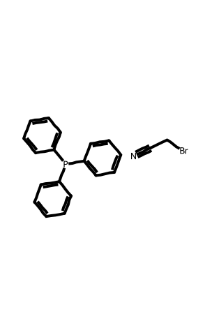 N#CCBr.c1ccc(P(c2ccccc2)c2ccccc2)cc1